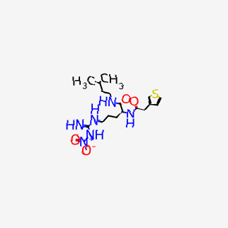 CC(C)CCNC(=O)[C@H](CCCNC(=N)N[N+](=O)[O-])NC(=O)Cc1ccsc1